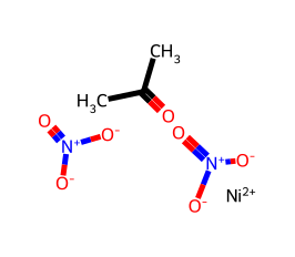 CC(C)=O.O=[N+]([O-])[O-].O=[N+]([O-])[O-].[Ni+2]